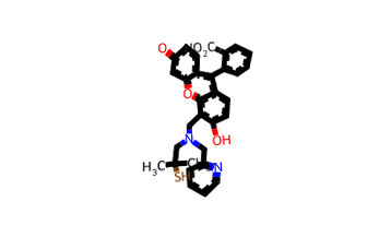 CC(C)(S)CN(Cc1ccccn1)Cc1c(O)ccc2c(-c3ccccc3C(=O)O)c3ccc(=O)cc-3oc12